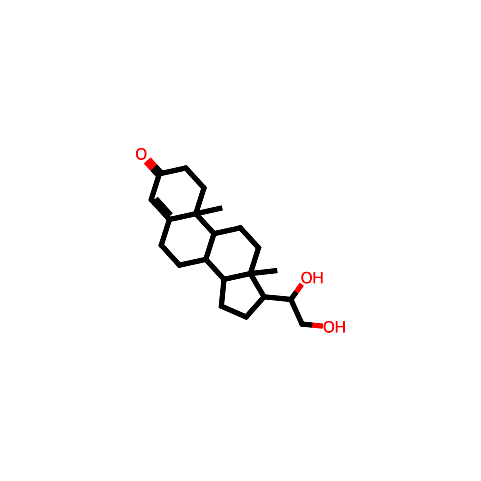 CC12CCC(=O)C=C1CCC1C2CCC2(C)C(C(O)CO)CCC12